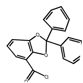 O=C(Cl)c1cccc2c1OC(c1ccccc1)(c1ccccc1)O2